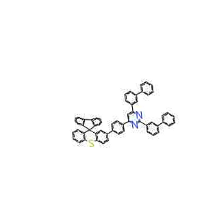 c1ccc(-c2cccc(-c3cc(-c4ccc(-c5ccc6c(c5)C5(c7ccccc7S6)c6ccccc6-c6ccccc65)cc4)nc(-c4cccc(-c5ccccc5)c4)n3)c2)cc1